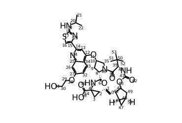 C=C[C@@H]1C[C@]1(NC(=O)[C@@H]1C[C@@H](Oc2cc(-c3csc(NC(C)C)n3)nc3cc(OCCO)ccc23)CN1C(=O)[C@@H](NC(=O)O[C@@H]1C[C@@H]2C[C@@H]2C1)C(C)(C)C)C(=O)O